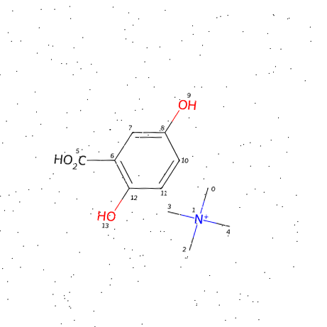 C[N+](C)(C)C.O=C(O)c1cc(O)ccc1O